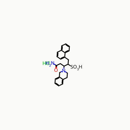 Cl.NC(=O)CC(C(Cc1cccc2ccccc12)S(=O)(=O)O)N1CCc2ccccc2C1